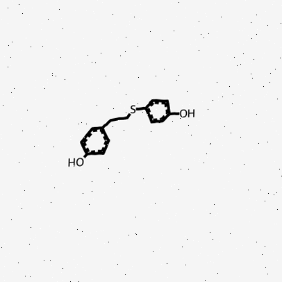 Oc1ccc(CCSc2ccc(O)cc2)cc1